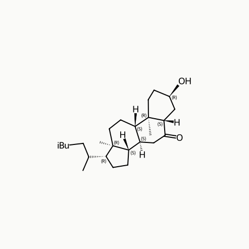 CCC(C)CC(C)[C@H]1CC[C@H]2[C@@H]3CC(=O)[C@H]4C[C@H](O)CC[C@]4(C)[C@H]3CC[C@]12C